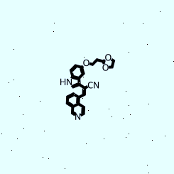 N#CC(=Cc1cccc2cnccc12)c1c[nH]c2ccc(OCCC3OCCO3)cc12